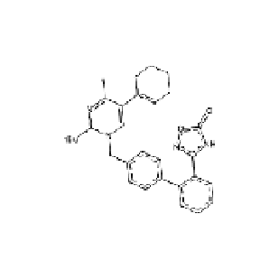 CCCCC1N=C(C)C(C2=CCCCC2)=CN1Cc1ccc(-c2ccccc2-c2noc(=O)[nH]2)cc1